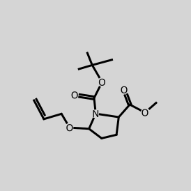 C=CCOC1CCC(C(=O)OC)N1C(=O)OC(C)(C)C